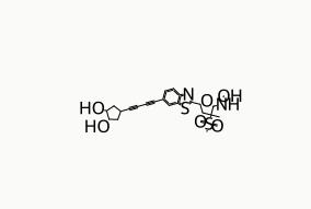 CC(CCc1nc2ccc(C#CC#CC3C[C@@H](O)[C@@H](O)C3)cc2s1)(C(=O)NO)S(C)(=O)=O